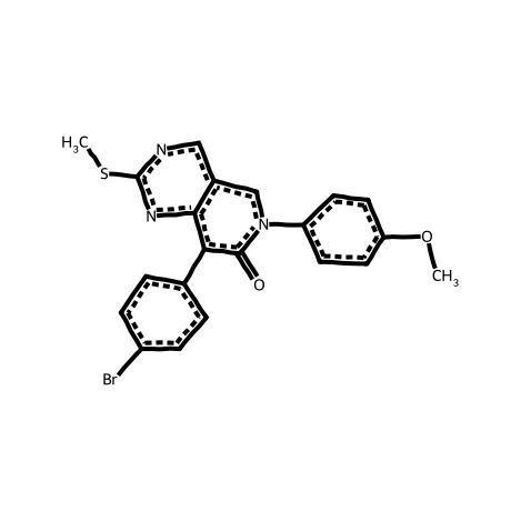 COc1ccc(-n2cc3cnc(SC)nc3c(-c3ccc(Br)cc3)c2=O)cc1